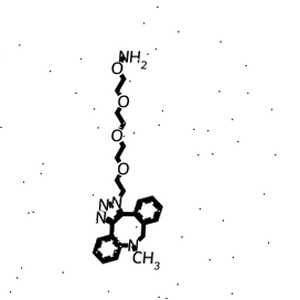 CN1Cc2ccccc2-c2c(nnn2CCOCCOCCOCCON)-c2ccccc21